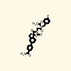 CC(N(Cc1ccc(F)cc1)C(=O)CN1C(=O)O[C@@]2(CCc3cc(-c4ccc(C(N)=O)cc4)ccc32)C1=O)C(F)(F)F